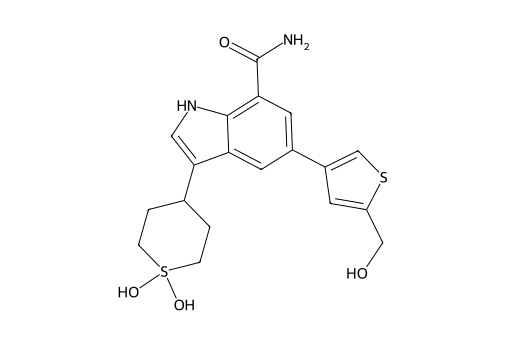 NC(=O)c1cc(-c2csc(CO)c2)cc2c(C3CCS(O)(O)CC3)c[nH]c12